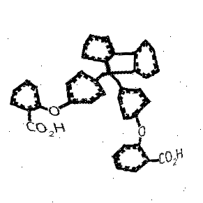 O=C(O)c1ccccc1Oc1ccc(C2(c3ccc(Oc4ccccc4C(=O)O)cc3)c3ccccc3-c3ccccc32)cc1